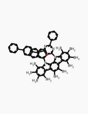 Bc1c(B)c(B)c2c(c1B)c1c(B)c(B)c3c4c(B)c(B)c(B)c(B)c4n(-c4nc(-c5ccccc5)nc(-c5ccccc5)n4)c3c1n2-c1cccc(-c2ccc(-c3ccccc3)cc2)c1